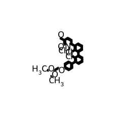 CCOC(COc1ccc(-c2cccc(-c3cccc(-c4ccc(C=O)c(OC)n4)c3Cl)c2Cl)cc1)OCC